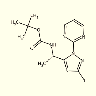 C[C@H](NC(=O)OC(C)(C)C)c1nc(I)nn1-c1ncccn1